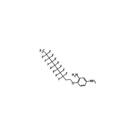 Nc1ccc(OCCC(F)(F)C(F)(F)C(F)(F)C(F)(F)C(F)(F)C(F)(F)C(F)(F)C(F)(F)F)c(N)c1